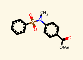 COC(=O)c1ccc(N(C)S(=O)(=O)c2ccccc2)cc1